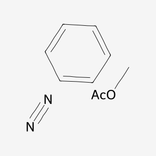 COC(C)=O.N#N.c1ccccc1